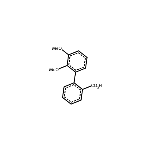 COc1cccc(-c2ccccc2C(=O)O)c1OC